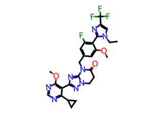 CCn1cc(C(F)(F)F)nc1-c1c(F)cc(CN2C(=O)CCn3nc(-c4c(OC)ncnc4C4CC4)nc32)cc1OC